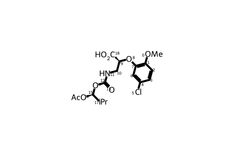 COc1ccc(Cl)cc1O[C@@H](CNC(=O)O[C@H](OC(C)=O)C(C)C)C(=O)O